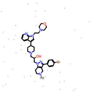 CC(=O)N1CCc2c(c(-c3ccc(Br)cc3)nn2CC(O)CN2CCC(c3cn(CCN4CCOCC4)c4ncccc34)CC2)C1